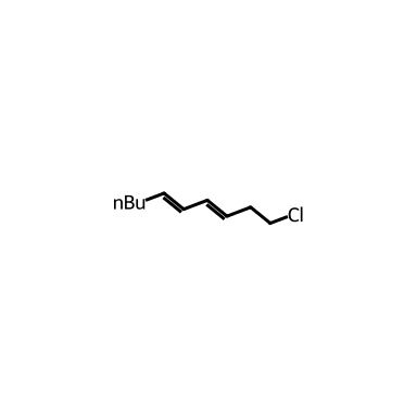 CCCCC=CC=CCCCl